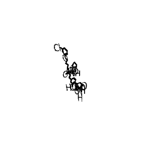 O=C1CC(c2ccc(CC(NS(=O)(=O)c3ccccc3)C(=O)NCCCCOc3cccc(Cl)c3)cc2Cl)S(O)(O)N1